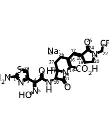 Nc1nc(C(=NO)C(=O)N[C@@H]2C(=O)N3C(C(=O)O)=C(C=C4CCN(CC(F)(F)F)C4=O)CC[C@H]23)cs1.[Na]